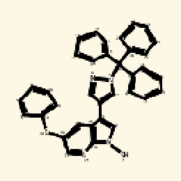 Sn1cc(-c2cnn(C(c3ccccc3)(c3ccccc3)c3ccccc3)c2)c2cc(Sc3ccccc3)cnc21